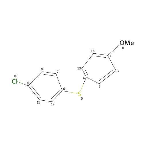 COc1ccc(Sc2ccc(Cl)cc2)cc1